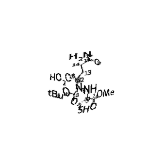 COC(=O)[C@H](CS)NN(C(=O)OC(C)(C)C)[C@@H](CCC(N)=O)C(=O)O